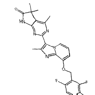 Cc1nc(-c2c(C)nc3c(OCc4c(F)ccc(F)c4F)cccn23)nc2c1C(C)(C)C(=O)N2